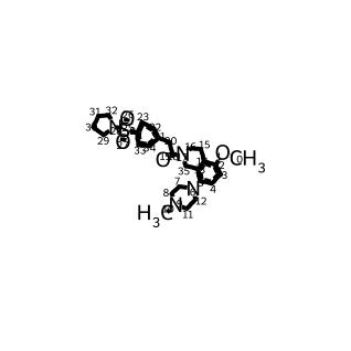 COc1ccc(N2CCN(C)CC2)c2c1CCN(C(=O)Cc1ccc(S(=O)(=O)N3CCCC3)cc1)C2